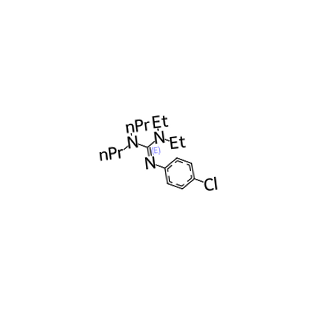 CCCN(CCC)/C(=N/c1ccc(Cl)cc1)N(CC)CC